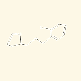 Fc1ccccc1COCC1CC=CO1